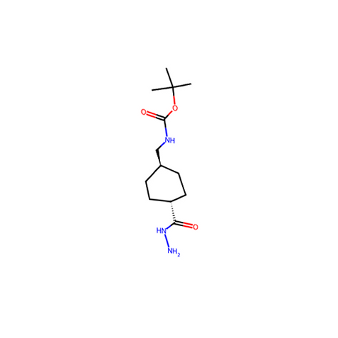 CC(C)(C)OC(=O)NC[C@H]1CC[C@H](C(=O)NN)CC1